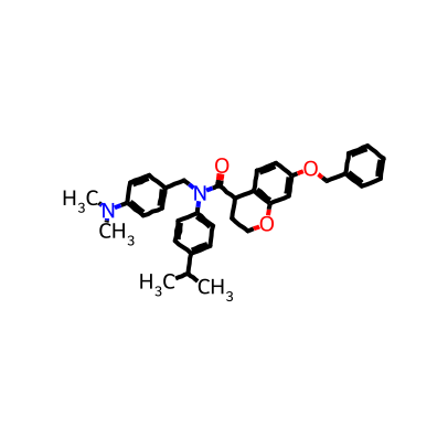 CC(C)c1ccc(N(Cc2ccc(N(C)C)cc2)C(=O)C2CCOc3cc(OCc4ccccc4)ccc32)cc1